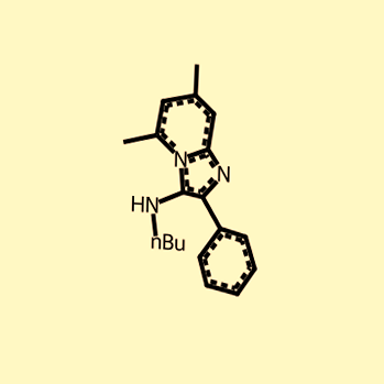 CCCCNc1c(-c2ccccc2)nc2cc(C)cc(C)n12